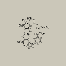 CC(=O)N[C@@H](CCCCN)C(=O)Nc1cccc(-c2csc(SN(C(C)=O)C3CCN(Cc4ccc(Cl)c(Cl)c4)CC3)n2)c1